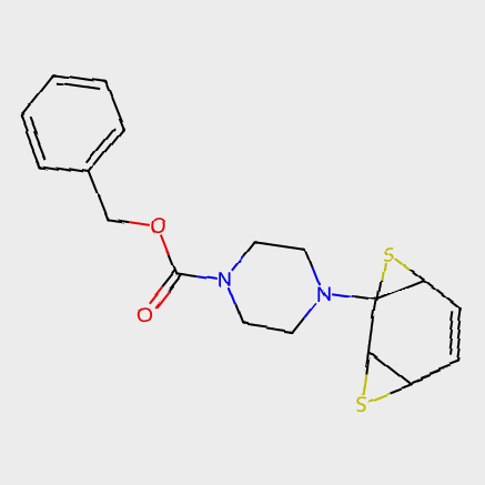 O=C(OCc1ccccc1)N1CCN(C23SC2C=CC2SC23)CC1